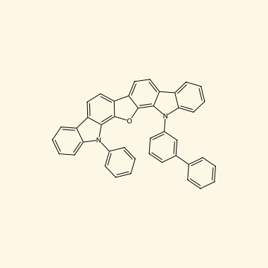 c1ccc(-c2cccc(-n3c4ccccc4c4ccc5c6ccc7c8ccccc8n(-c8ccccc8)c7c6oc5c43)c2)cc1